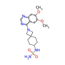 COc1cc2ncnc(N3CC4(CCC(NS(N)(=O)=O)CC4)C3)c2cc1OC